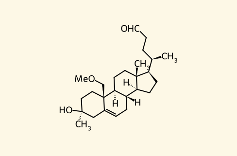 COC[C@]12CC[C@](C)(O)CC1=CC[C@@H]1[C@@H]2CC[C@]2(C)[C@@H]([C@H](C)CCC=O)CC[C@@H]12